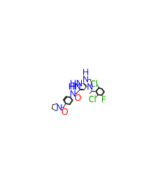 CC(c1c(Cl)ccc(F)c1Cl)N1CCNC2=C1C=C(C(=O)Nc1c#cc(C(=O)N3CCCC3)cc1)NN2